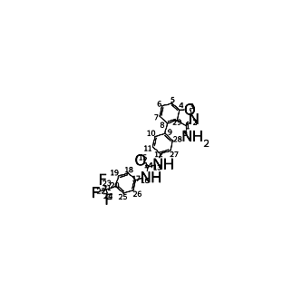 Nc1noc2cccc(-c3ccc(NC(=O)Nc4ccc(C(F)(F)F)cc4)cc3)c12